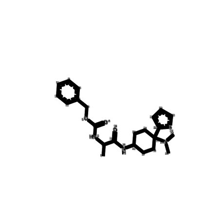 CC(NC(=O)OCc1ccccc1)C(=O)NC1CCC(c2cccs2)(N(C)C)CC1